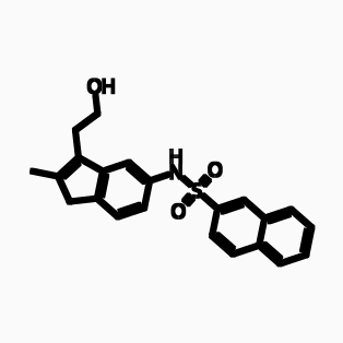 CC1=C(CCO)c2cc(NS(=O)(=O)c3ccc4ccccc4c3)ccc2C1